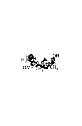 COc1cc(C(=O)N2[C@H]3CC[C@@H]2[C@H](N)C3)cc2nc(-c3cc4ccc([C@@H](C)NC(=O)N5CC(O)C5)nc4n3CC3CC3)c(C)n12